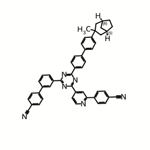 CC1(c2ccc(-c3ccc(-c4nc(-c5cccc(-c6ccc(C#N)cc6)c5)nc(-c5ccnc(-c6ccc(C#N)cc6)c5)n4)cc3)cc2)C[C@@H]2CC[C@@H](C2)C1